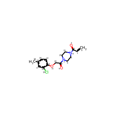 C=CC(=O)N1CCN(C(=O)COc2ccc(C)cc2Cl)CC1